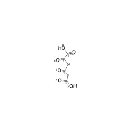 O=C(O)CC(=O)CC(=O)C(=O)O